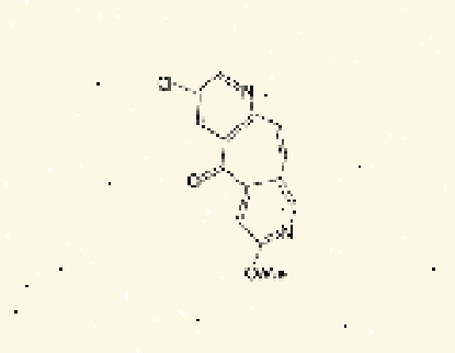 COc1cc2c(=O)c3cc(Cl)cnc3ccc2cn1